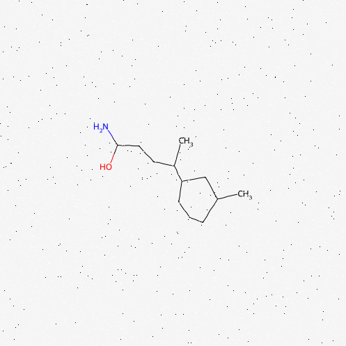 CC1CCCC(C(C)CCC(N)O)C1